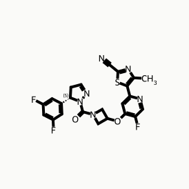 Cc1nc(C#N)sc1-c1cc(OC2CN(C(=O)N3N=CC[C@H]3c3cc(F)cc(F)c3)C2)c(F)cn1